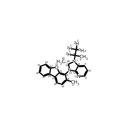 [2H]C([2H])([2H])C([2H])(C)N1c2cccnc2N(c2c(C)ccc3c2oc2ccccc23)[C@@H]1C